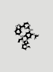 C=CC(=O)Nc1cc(Nc2nccc(-c3noc4ccccc34)n2)c(OC(F)F)cc1N1CC2(CCCN2C)C1